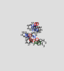 CC(C)(C)OC(=O)N1CCC[C@H]1C(=O)N1CC2CCC(C1)N2C(=O)c1ccccc1.Cl.O=C([C@@H]1CCCN1)N1CC2CCC(C1)N2C(=O)c1ccccc1